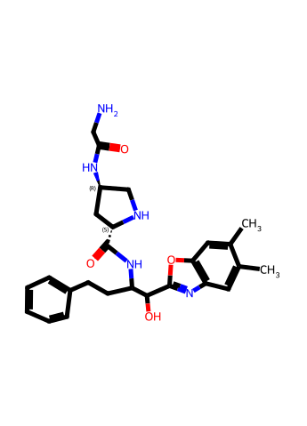 Cc1cc2nc(C(O)C(CCc3ccccc3)NC(=O)[C@@H]3C[C@@H](NC(=O)CN)CN3)oc2cc1C